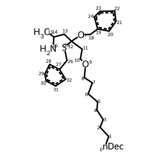 CCCCCCCCCCCCCCCCCCOCCC(CC(C)N)(OCc1ccccc1)SCc1ccccc1